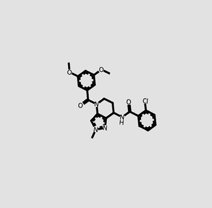 COc1cc(OC)cc(C(=O)N2CCC(NC(=O)c3ccccc3Cl)c3nn(C)cc32)c1